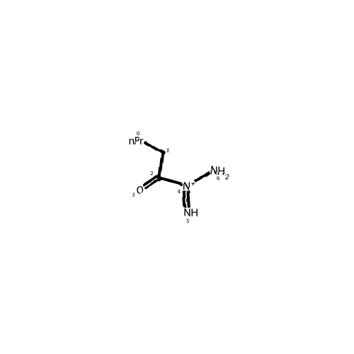 CCCCC(=O)[N+](=N)N